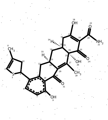 CC1=CSC(c2ccc(O)c3c2C[C@H]2C[C@H]4CC(O)=C(C(N)=O)C(=O)[C@@]4(O)C(C)=C2C3=O)C1